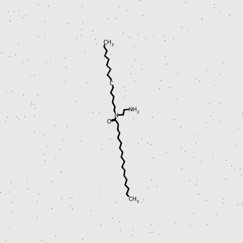 CCCCCCCCCCCCCCCCCC(=O)N(CCN)CCCCCCCCCCCCCCCC